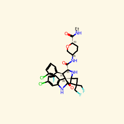 CCNC(=O)[C@@H]1CC[C@@H](NC(=O)[C@@H]2NC3(CC(CF)(CF)C3)[C@@]3(C(=O)Nc4cc(Cl)ccc43)[C@H]2c2cccc(Cl)c2F)CO1